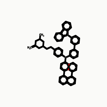 C=C1CC(C)CC(CCc2ccc(N(c3ccc(-c4cccc5cccc(-c6ccccc6)c45)cc3)c3cccc(-c4cccc(-n5c6ccccc6c6ccccc65)c4)c3)cc2)C1